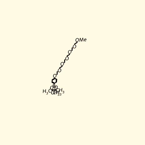 COCCOCCOCCOCCOCCOCCOc1ccc(B2OC(C)(C)C(C)(C)O2)cc1